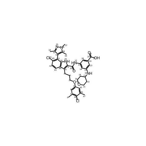 Cc1cc(OCCCc2c(C(=O)Nc3cc(NC4CCOCC4)cc(C(=O)O)c3)[nH]c3c(-c4c(C)nn(C)c4C)c(Cl)ccc23)cc(C)c1Cl